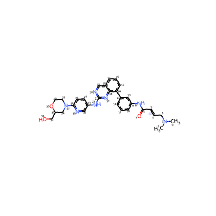 CN(C)C/C=C/C(=O)Nc1cccc(-c2cccc3cnc(Nc4ccc(N5CCOC(CO)C5)nc4)nc23)c1